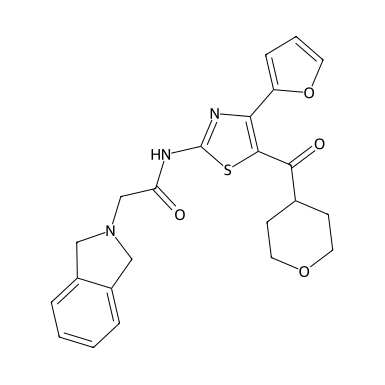 O=C(CN1Cc2ccccc2C1)Nc1nc(-c2ccco2)c(C(=O)C2CCOCC2)s1